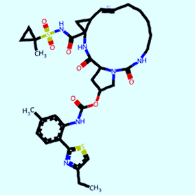 CCc1csc(-c2ccc(C)cc2NC(=O)OC2CC3C(=O)NC4(C(=O)NS(=O)(=O)C5(C)CC5)CC4/C=C/CCCCCNC(=O)N3C2)n1